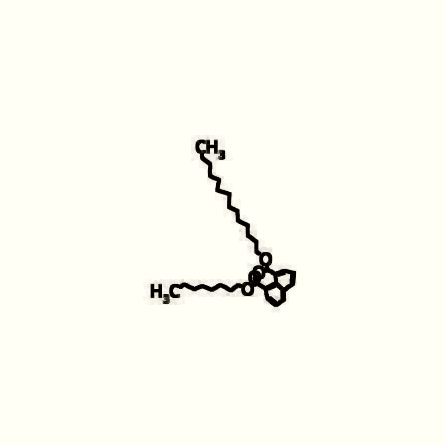 CCCCCCCCCCCCCCOC(=O)c1cccc2cccc(C(=O)OCCCCCCCC)c12